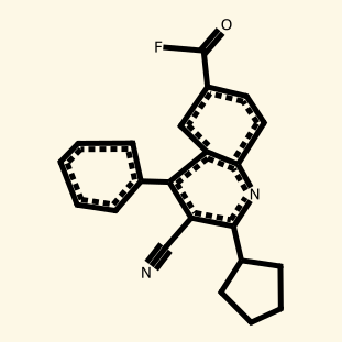 N#Cc1c(C2CCCC2)nc2ccc(C(=O)F)cc2c1-c1ccccc1